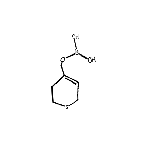 OB(O)OC1=CCSCC1